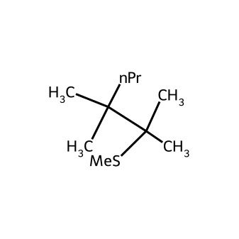 CCCC(C)(C)C(C)(C)SC